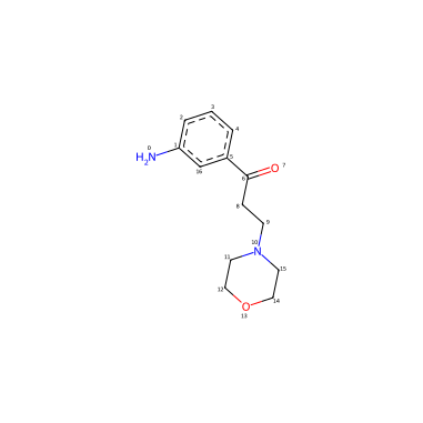 Nc1cccc(C(=O)CCN2CCOCC2)c1